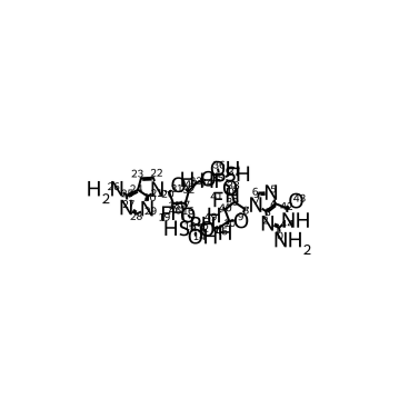 Nc1nc2c(ncn2[C@@H]2O[C@@H]3CO[PH](O)(S)O[C@H]4[C@H](F)[C@H](n5ccc6c(N)ncnc65)O[C@@H]4CO[PH](O)(S)O[C@@H]2[C@@H]3F)c(=O)[nH]1